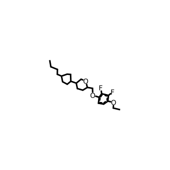 CCCCC1CCC(C2CCC(COc3ccc(OCC)c(F)c3F)OC2)CC1